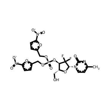 Cc1ccn([C@@H]2O[C@H](CO)[C@@H](OP(=O)(OCc3ccc([N+](=O)[O-])o3)OCc3ccc([N+](=O)[O-])o3)C2(F)F)c(=O)n1